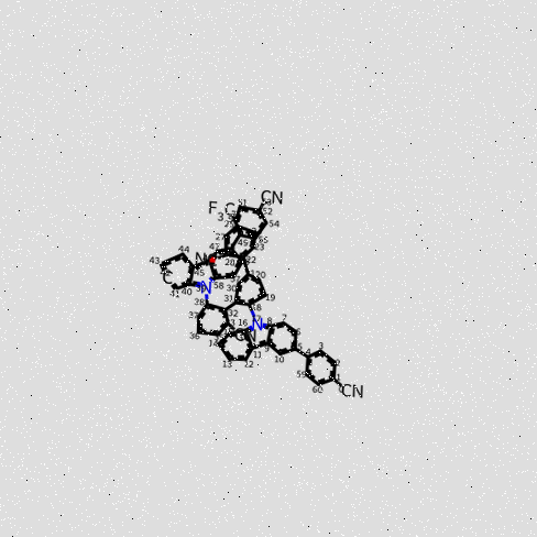 N#Cc1ccc(-c2ccc3c(c2)c2ccccc2n3-c2ccc(-c3ccc(C(F)(F)F)cc3C#N)cc2-c2c(C#N)cccc2-n2c3ccccc3c3cc(-c4ccc(C#N)cc4)ccc32)cc1